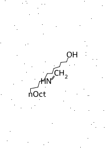 C=C=N.CCCCCCCCCCCCCCCCCCO